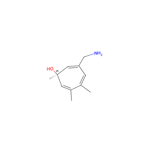 CC1=CC(CN)=C[C@](C)(O)C=C1C